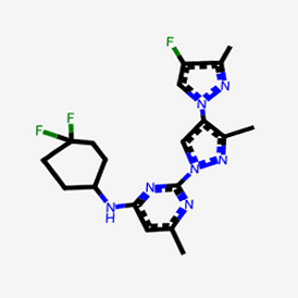 Cc1cc(NC2CCC(F)(F)CC2)nc(-n2cc(-n3cc(F)c(C)n3)c(C)n2)n1